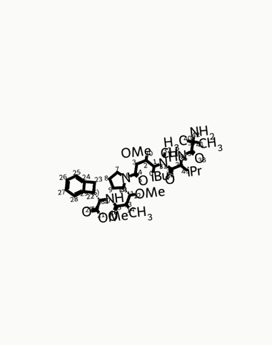 CCC(C)C(C(CC(=O)N1CCC[C@H]1C(OC)C(C)C(=O)NC(C(=O)OC)[C@H]1Cc2ccccc21)OC)N(C)C(=O)C(NC(=O)C(C)(C)N)C(C)C